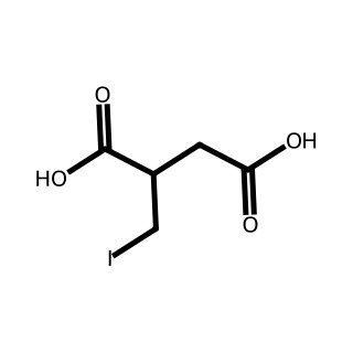 O=C(O)CC(CI)C(=O)O